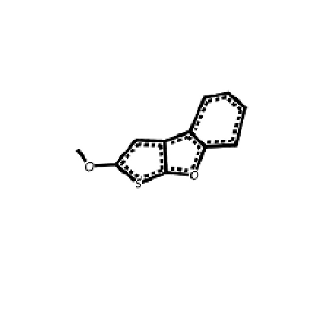 COc1cc2c(oc3ccccc32)s1